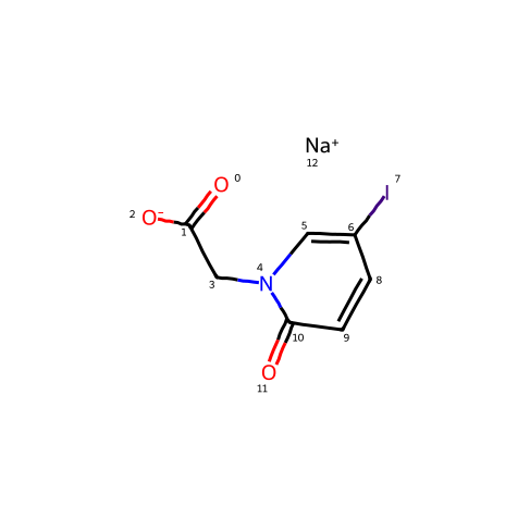 O=C([O-])Cn1cc(I)ccc1=O.[Na+]